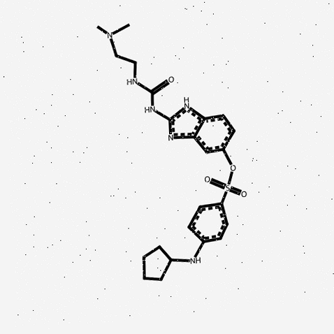 CN(C)CCNC(=O)Nc1nc2cc(OS(=O)(=O)c3ccc(NC4CCCC4)cc3)ccc2[nH]1